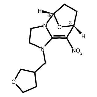 O=[N+]([O-])C1=C2N(CC3CCOC3)CCN2[C@@H]2CC[C@H]1O2